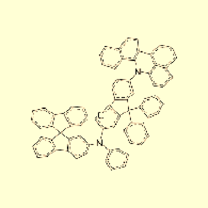 c1ccc(N(c2ccc3c(c2)C(c2ccccc2)(c2ccccc2)c2cc(N4c5c(ccc6ccccc56)-c5cccc6cccc4c56)ccc2-3)c2ccc3c(c2)C2(c4ccccc4-c4ccccc42)c2ccccc2-3)cc1